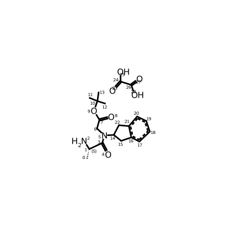 C[C@H](N)C(=O)N(CC(=O)OC(C)(C)C)C1Cc2ccccc2C1.O=C(O)C(=O)O